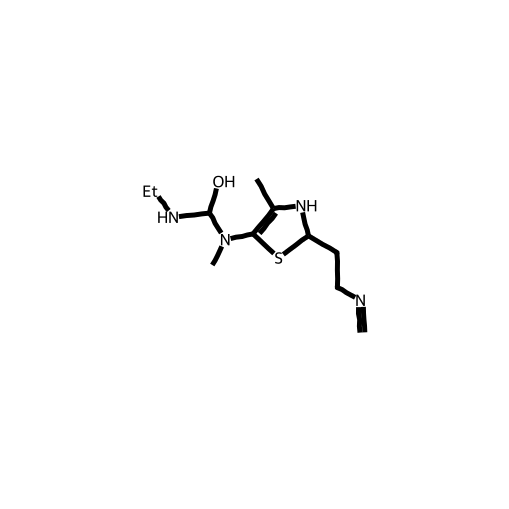 C=NCCC1NC(C)=C(N(C)C(O)NCC)S1